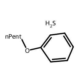 CCCCCOc1ccccc1.S